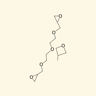 C(COCC1CO1)OCCOCC1CO1.CC1COC1